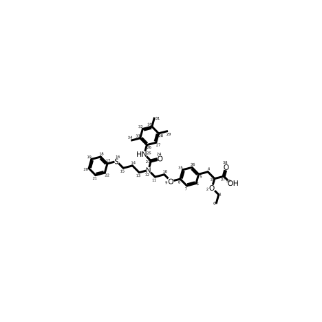 CCOC(Cc1ccc(OCCN(CCCSc2ccccc2)C(=O)Nc2cc(C)c(C)cc2C)cc1)C(=O)O